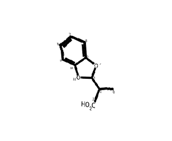 CC(C(=O)O)C1Oc2ccccc2O1